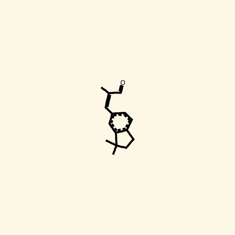 CC(C=O)=Cc1ccc2c(c1)C(C)(C)CC2